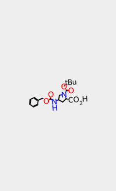 CC(C)(C)OC(=O)N1CC(NC(=O)OCc2ccccc2)CC1C(=O)O